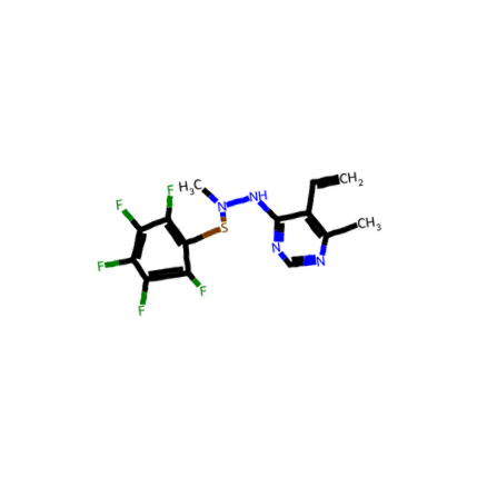 C=Cc1c(C)ncnc1NN(C)Sc1c(F)c(F)c(F)c(F)c1F